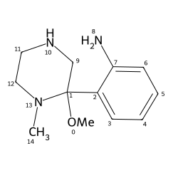 COC1(c2ccccc2N)CNCCN1C